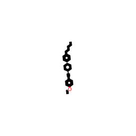 CCCCCc1ccc([C@H]2CC[C@H](C#Cc3ccc(OCC)cc3)CC2)cc1